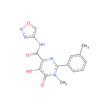 Cc1cccc(-c2nc(C(=O)Nc3cnoc3)c(O)c(=O)n2C)c1